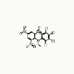 CCN(c1c([N+](=O)[O-])cc([N+](=O)[O-])cc1[N+](=O)[O-])c1c(Cl)c(Cl)c(Cl)c(Cl)c1Cl